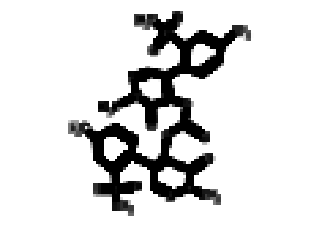 Cn1ncc(-c2ccc(C(F)(F)F)cc2S(C)(=O)=O)c(OC(=O)Oc2c(-c3ccc(C(F)(F)F)cc3S(C)(=O)=O)cnn(C)c2=O)c1=O